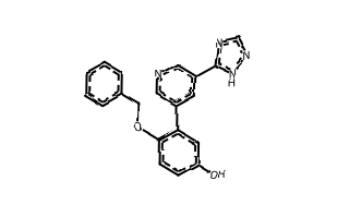 Oc1ccc(OCc2ccccc2)c(-c2cncc(-c3ncn[nH]3)c2)c1